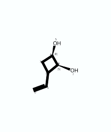 C=CC1C[C@@H](O)[C@H]1O